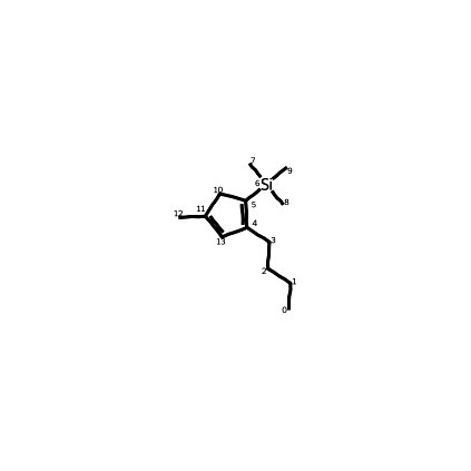 CCCCC1=C([Si](C)(C)C)CC(C)=C1